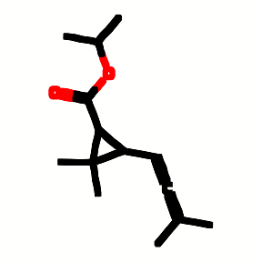 CC(C)=C=CC1C(C(=O)OC(C)C)C1(C)C